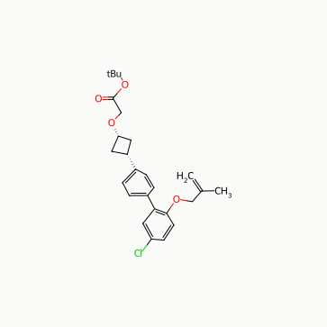 C=C(C)COc1ccc(Cl)cc1-c1ccc([C@H]2C[C@@H](OCC(=O)OC(C)(C)C)C2)cc1